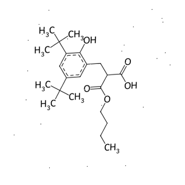 CCCCOC(=O)C(Cc1cc(C(C)(C)C)cc(C(C)(C)C)c1O)C(=O)O